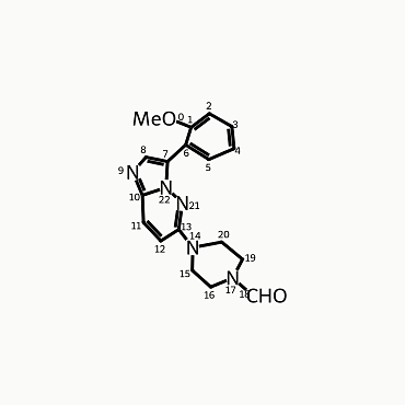 COc1ccccc1-c1cnc2ccc(N3CCN(C=O)CC3)nn12